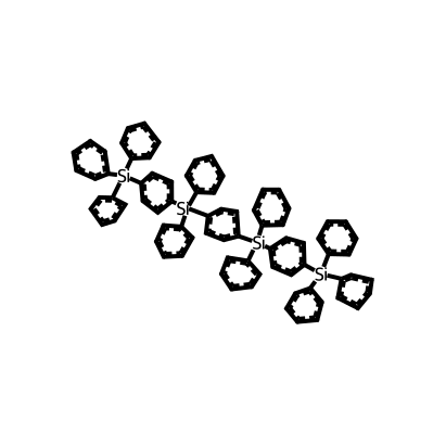 c1ccc([Si](c2ccccc2)(c2ccccc2)c2ccc([Si](c3ccccc3)(c3ccccc3)c3ccc([Si](c4ccccc4)(c4ccccc4)c4ccc([Si](c5ccccc5)(c5ccccc5)c5ccccc5)cc4)cc3)cc2)cc1